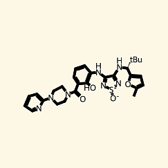 Cc1ccc([C@H](Nc2n[s+]([O-])nc2Nc2cccc(C(=O)N3CCN(c4ccccn4)CC3)c2O)C(C)(C)C)o1